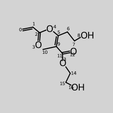 C=CC(=O)OC(CCO)=C(C)C(=O)OCCO